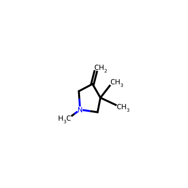 C=C1CN(C)CC1(C)C